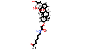 CCC(=O)CCCCCNC(=O)CO[C@H]1CC[C@@]2(C)[C@H](CC[C@@H]3[C@@H]2C[C@@H](O)[C@]2(C)[C@@H](C4=CC(=O)OC4)CC[C@]32O)C1